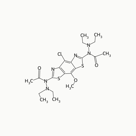 CCN(CC)N(C(C)=O)c1nc2c(Cl)c3nc(N(C(C)=O)N(CC)CC)sc3c(OC)c2s1